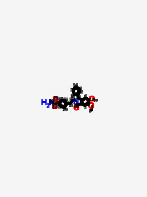 COc1cc2c(cc1OC)C(c1ccccc1)N(CCc1ccc(S(N)(=O)=O)cc1)C2=O